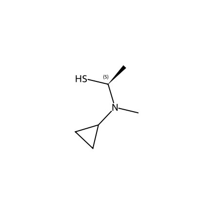 C[C@H](S)N(C)C1CC1